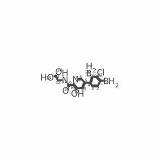 Bc1ccc(-c2cnc(C(=O)NCC(=O)O)c(O)c2)c(B)c1Cl